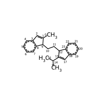 CC1=Cc2ccccc2C1CCC1C(C(C)C)=Cc2ccccc21